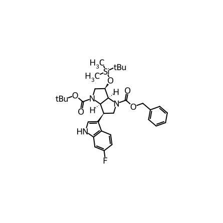 CC(C)(C)OC(=O)N1C[C@@H](O[Si](C)(C)C(C)(C)C)[C@@H]2[C@H]1[C@H](c1c[nH]c3cc(F)ccc13)CN2C(=O)OCc1ccccc1